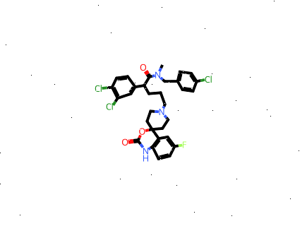 CN(Cc1ccc(Cl)cc1)C(=O)C(CCCN1CCC2(CC1)OC(=O)Nc1ccc(F)cc12)c1ccc(Cl)c(Cl)c1